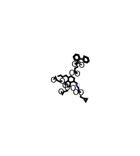 CCCCC1C(OC(=O)CCP2(=O)Oc3ccccc3-c3ccccc32)CC(/C=C/CC(=O)OCC2CC2)C(C(=O)OCC2CO2)C1C(=O)OCC1CO1